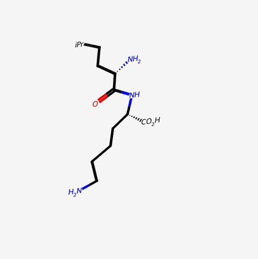 CC(C)CC[C@H](N)C(=O)N[C@@H](CCCCN)C(=O)O